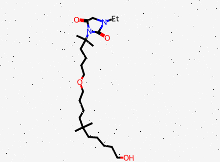 CCN1CC(=O)N(C(C)(C)CCCCOCCCCC(C)(C)CCCCCO)C1=O